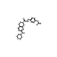 O=C(NCc1ccc(OC(F)F)cc1)N1CCc2cnc(NC3CCOCC3)nc2C1